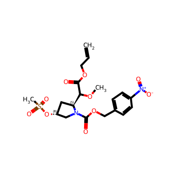 C=CCOC(=O)C(OC)[C@@H]1C[C@@H](OS(C)(=O)=O)CN1C(=O)OCc1ccc([N+](=O)[O-])cc1